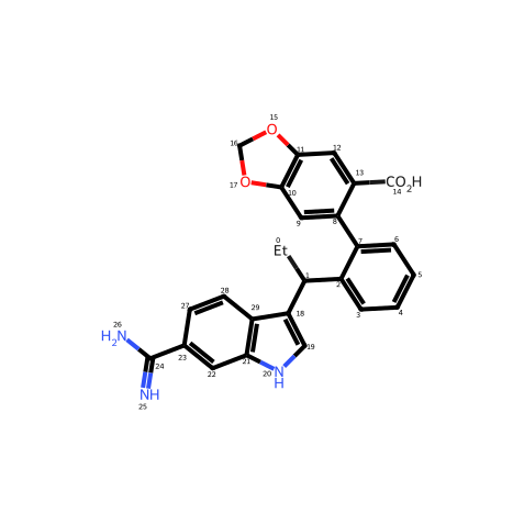 CCC(c1ccccc1-c1cc2c(cc1C(=O)O)OCO2)c1c[nH]c2cc(C(=N)N)ccc12